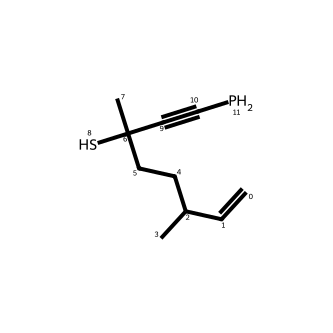 C=CC(C)CCC(C)(S)C#CP